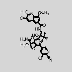 COc1cc(C(=O)NC[C@](O)(c2cc3c(c(-c4cnc(C#N)c(Cl)c4)n2)OC[C@]3(C)C(N)=O)C(F)(F)F)cc2cc(Cl)c(C)nc12